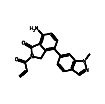 C=CC(=O)N1Cc2c(-c3ccc4cnn(C)c4c3)ccc(N)c2C1=O